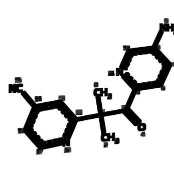 CC(C)(C(=O)c1ccc(N)cn1)c1cc(C#N)ccn1